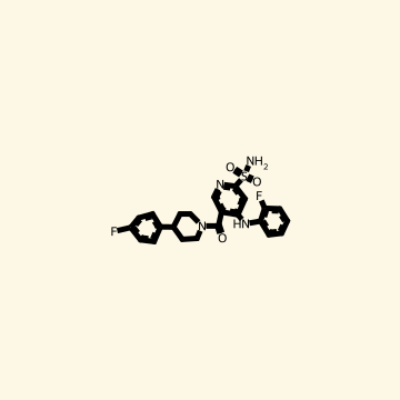 NS(=O)(=O)c1cc(Nc2ccccc2F)c(C(=O)N2CCC(c3ccc(F)cc3)CC2)cn1